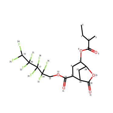 CCC(C)C(=O)OC1CC(C(=O)OCC(F)(F)C(F)(F)C(F)(F)C(F)F)C2CC1OC2=O